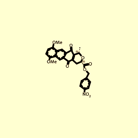 COc1ccc(OC)c2cc3c(cc12)C(=O)C1=C(C3=O)[C@H](C)O[C@H](C(=O)OCc2ccc([N+](=O)[O-])cc2)C1